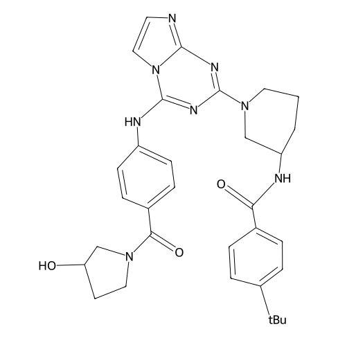 CC(C)(C)c1ccc(C(=O)NC2CCCN(c3nc(Nc4ccc(C(=O)N5CCC(O)C5)cc4)n4ccnc4n3)C2)cc1